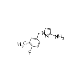 Cc1cc(Cn2ccc(N)n2)ccc1F